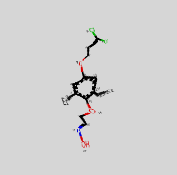 CCc1cc(OCC=C(Cl)Cl)cc(CC)c1OCC=NO